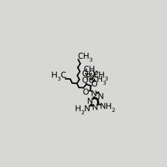 CCCCCCCC(CCCC)CC1OC(n2cnc3c(N)nc(N)nc32)C(OC)C1OP(=O)(OC)OC